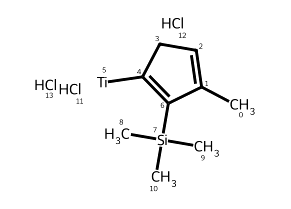 CC1=CC[C]([Ti])=C1[Si](C)(C)C.Cl.Cl.Cl